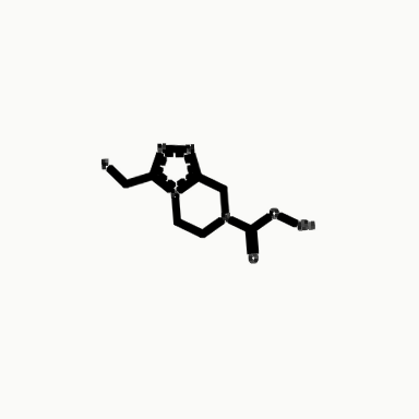 CC(C)(C)OC(=O)N1CCn2c(CF)nnc2C1